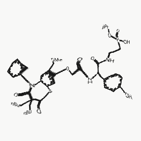 CCCCC1(CCCC)C(=O)Sc2cc(OCC(=O)N[C@@H](C(=O)NCCP(=O)(O)OC(C)C)c3ccc(O)cc3)c(SC)cc2N(c2ccccc2)C1=O